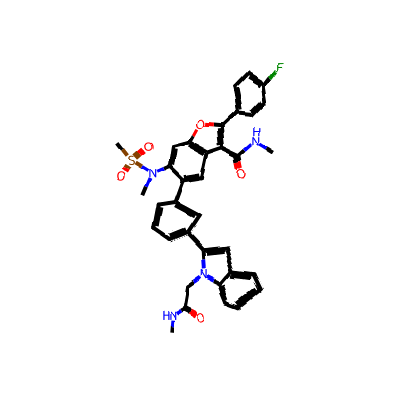 CNC(=O)Cn1c(-c2cccc(-c3cc4c(C(=O)NC)c(-c5ccc(F)cc5)oc4cc3N(C)S(C)(=O)=O)c2)cc2ccccc21